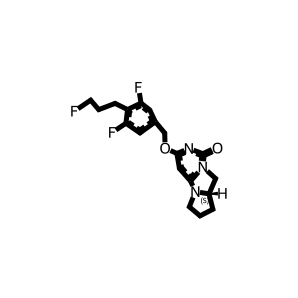 O=c1nc(OCc2cc(F)c(CCCF)c(F)c2)cc2n1C[C@@H]1CCCN21